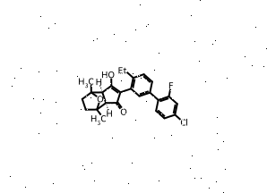 CCc1ccc(-c2ccc(Cl)cc2F)cc1C1=C(O)[C@H]2[C@@H](C1=O)C1(C)CCC2(C)O1